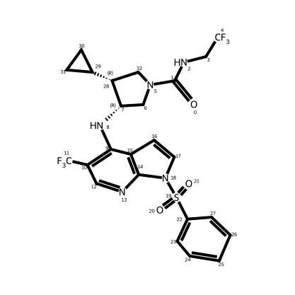 O=C(NCC(F)(F)F)N1C[C@H](Nc2c(C(F)(F)F)cnc3c2ccn3S(=O)(=O)c2ccccc2)[C@H](C2CC2)C1